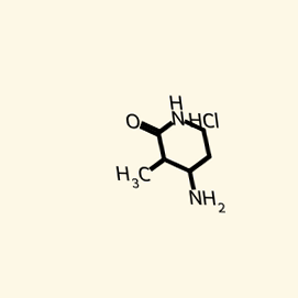 CC1C(=O)NCCC1N.Cl